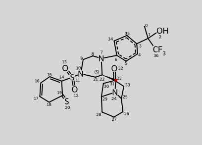 CC(O)(c1ccc(N2CCN(S(=O)(=O)C3=CC=CCC3=S)C[C@@H]2CN2C3CCCC2CC(=O)C3)cc1)C(F)(F)F